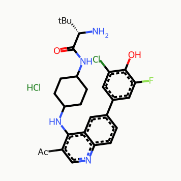 CC(=O)c1cnc2ccc(-c3cc(F)c(O)c(Cl)c3)cc2c1NC1CCC(NC(=O)[C@@H](N)C(C)(C)C)CC1.Cl